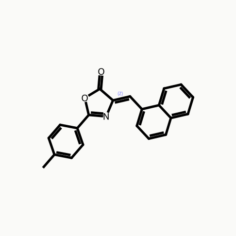 Cc1ccc(C2=N/C(=C\c3cccc4ccccc34)C(=O)O2)cc1